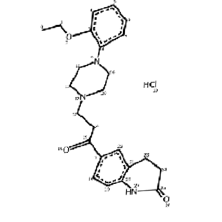 CCOc1ccccc1N1CCN(CCC(=O)c2ccc3c(c2)CCC(=O)N3)CC1.Cl